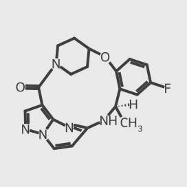 C[C@H]1Nc2ccn3ncc(c3n2)C(=O)N2CCC(CC2)Oc2ccc(F)cc21